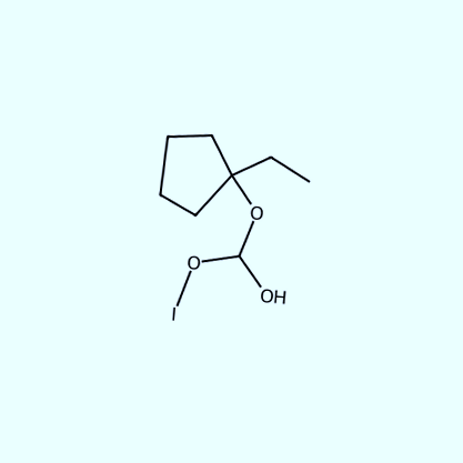 CCC1(OC(O)OI)CCCC1